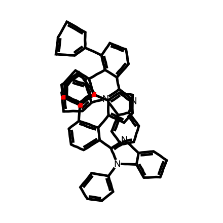 c1ccc(-c2cccc(-c3nc4ccccc4n3-c3ccccc3)c2-c2ccccc2-c2ccccc2-c2c(-c3ccccc3)cccc2-c2nc3ccccc3n2-c2ccccc2)cc1